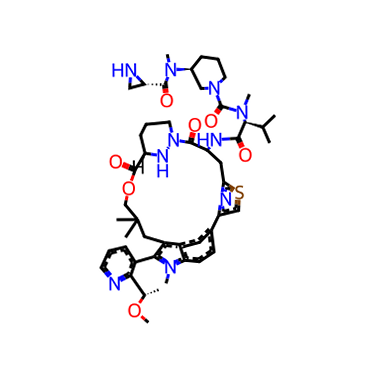 CO[C@@H](C)c1ncccc1-c1c2c3cc(ccc3n1C)-c1csc(n1)C[C@H](NC(=O)[C@H](C(C)C)N(C)C(=O)N1CCC[C@H](N(C)C(=O)[C@@H]3CN3)C1)C(=O)N1CCC[C@H](N1)C(=O)OCC(C)(C)C2